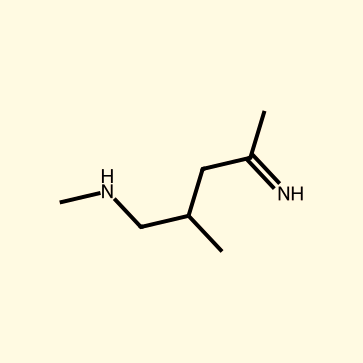 CNCC(C)CC(C)=N